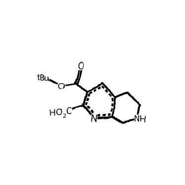 CC(C)(C)OC(=O)c1cc2c(nc1C(=O)O)CNCC2